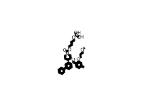 COCCCOc1cc(C)ccc1COC1CN(C(=O)OCCCCON(O)O)CC[C@@H]1c1cccc(-c2ccccc2)c1